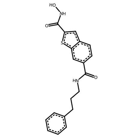 O=C(NCCCc1ccccc1)c1ccc2cc(C(=O)NO)sc2c1